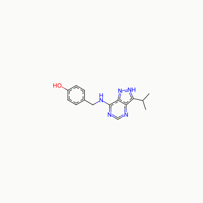 CC(C)c1[nH]nc2c(NCc3ccc(O)cc3)ncnc12